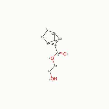 O=C(OCCO)C1=C2CCC(C2)C1